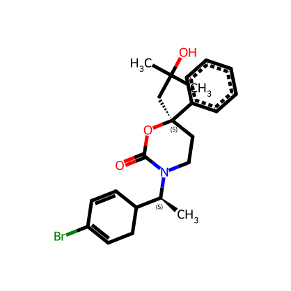 C[C@@H](C1C=CC(Br)=CC1)N1CC[C@](CC(C)(C)O)(c2ccccc2)OC1=O